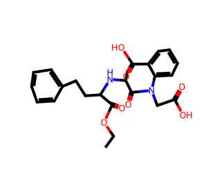 CCOC(=O)C(CCc1ccccc1)NC(C)C(=O)N(CC(=O)O)c1ccccc1C(=O)O